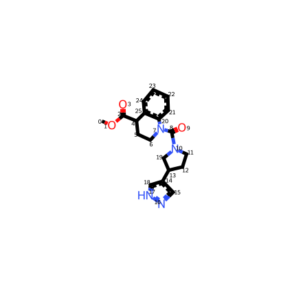 COC(=O)C1CCN(C(=O)N2CCC(c3cn[nH]c3)C2)c2ccccc21